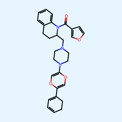 O=C(c1ccoc1)N1c2ccccc2CCC1CN1CCN(C2=COC(C3=CC=CCC3)=CO2)CC1